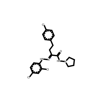 O=C(NN1CCCC1)/C(CCc1ccc(Cl)cc1)=N/Nc1ccc(Cl)cc1Cl